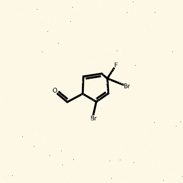 O=CC1C=CC(F)(Br)C=C1Br